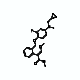 CO/C=C(/C(=O)OC)c1ccccc1COc1ccc(N(C)CC2CC2)cc1F